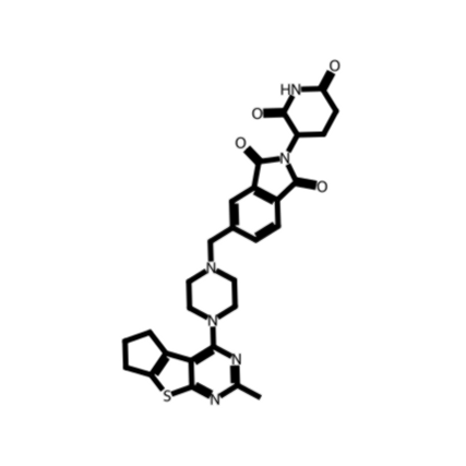 Cc1nc(N2CCN(Cc3ccc4c(c3)C(=O)N(C3CCC(=O)NC3=O)C4=O)CC2)c2c3c(sc2n1)CCC3